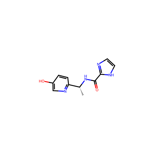 C[C@@H](NC(=O)c1ncc[nH]1)c1ccc(O)cn1